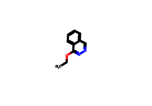 CCOc1nncc2ccccc12